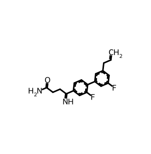 C=CCc1cc(F)cc(-c2ccc(C(=N)CCC(N)=O)cc2F)c1